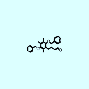 Cc1c(C)c(OCc2ccccc2)c(CCCC=O)c(C)c1OCc1ccccc1